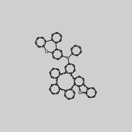 c1ccc(N(c2ccc3c(c2)-c2ccccc2-c2ccccc2O3)c2ccc3c(c2)c2ccccc2c2ccccc2c2ccccc2c2c3ccc3c4ccccc4oc32)cc1